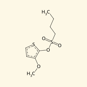 CCCCS(=O)(=O)Oc1sccc1OC